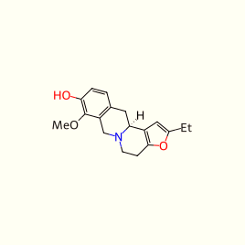 CCc1cc2c(o1)CCN1Cc3c(ccc(O)c3OC)C[C@@H]21